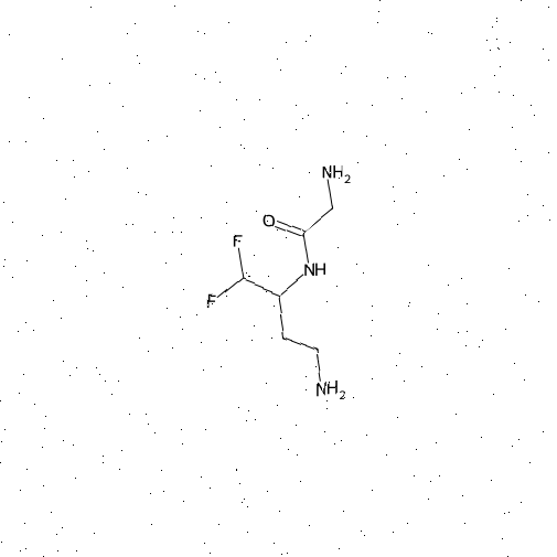 NCCC(NC(=O)CN)C(F)F